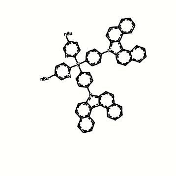 CCCCc1ccc([Si](c2ccc(-n3c4ccc5ccccc5c4c4c5ccccc5ccc43)cc2)(c2ccc(-n3c4ccc5ccccc5c4c4c5ccccc5ccc43)cc2)c2ccc(CCCC)cn2)nc1